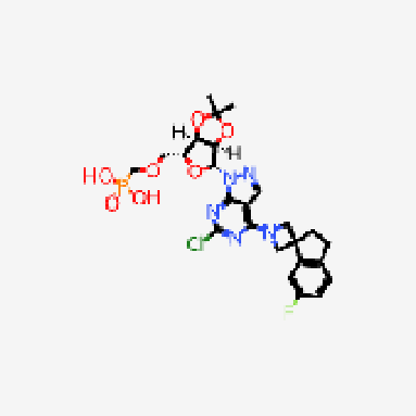 CC1(C)O[C@@H]2[C@H](O1)[C@@H](COCP(=O)(O)O)O[C@H]2n1ncc2c(N3CC4(CCc5ccc(F)cc54)C3)nc(Cl)nc21